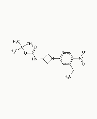 CCc1cc(N2CC(NC(=O)OC(C)(C)C)C2)ncc1[N+](=O)[O-]